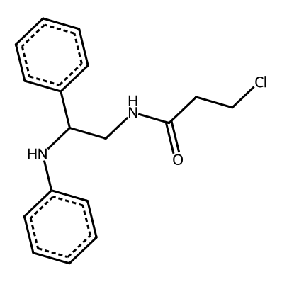 O=C(CCCl)NCC(Nc1ccccc1)c1ccccc1